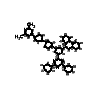 Cc1cc(-c2ccc(-c3ccc(-c4cc(-c5nc(-c6ccccc6)nc(-c6ccccc6)n5)cc(-c5cc6ccccc6c6ccccc56)c4)cc3)cc2)cc(C)n1